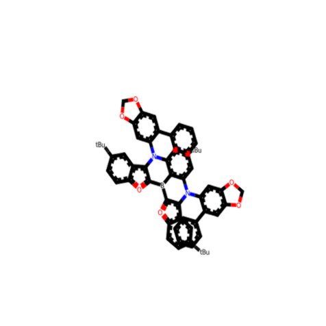 CC(C)(C)c1cc2c3c(c1)N(c1cc4c(cc1-c1ccccc1)OCO4)c1c(oc4ccc(C(C)(C)C)cc14)B3c1oc3ccc(C(C)(C)C)cc3c1N2c1cc2c(cc1-c1ccccc1)OCO2